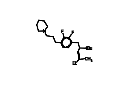 CC/C(C)=C/C(Cc1ccc(CCCN2CCCCC2)c(F)c1F)C(C)(C)C